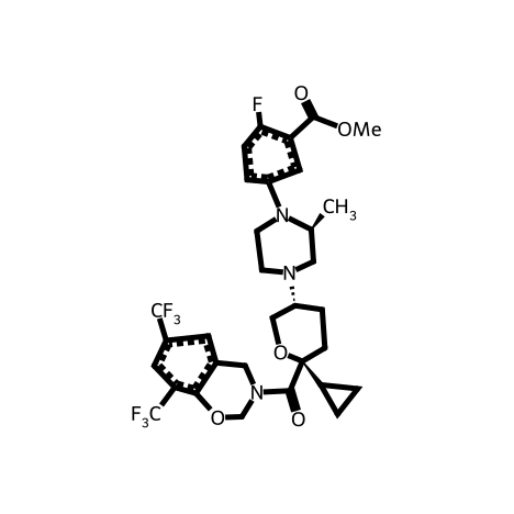 COC(=O)c1cc(N2CCN([C@@H]3CC[C@@](C(=O)N4COc5c(cc(C(F)(F)F)cc5C(F)(F)F)C4)(C4CC4)OC3)C[C@@H]2C)ccc1F